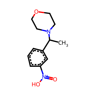 CC(c1cccc([N+](=O)O)c1)N1CCOCC1